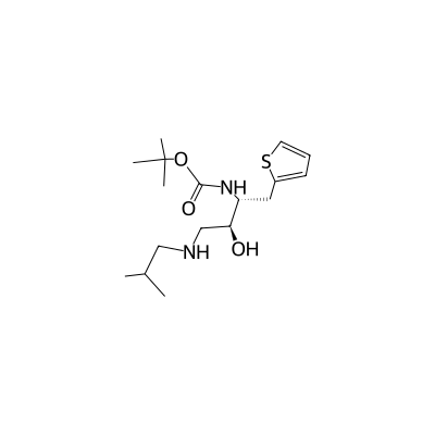 CC(C)CNC[C@H](O)[C@@H](Cc1cccs1)NC(=O)OC(C)(C)C